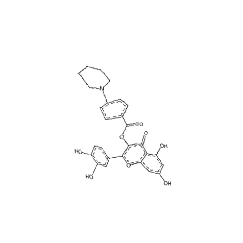 O=C(Oc1c(-c2ccc(O)c(O)c2)oc2cc(O)cc(O)c2c1=O)c1ccc(N2CCCCC2)cc1